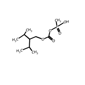 CC(C)C(COC(=O)OP(C)(=O)O)C(C)C